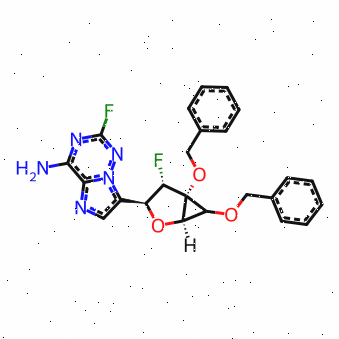 Nc1nc(F)nn2c([C@@H]3O[C@@H]4C(OCc5ccccc5)[C@]4(OCc4ccccc4)[C@H]3F)cnc12